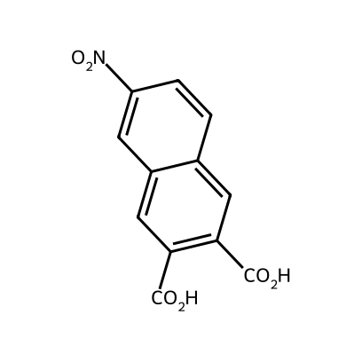 O=C(O)c1cc2ccc([N+](=O)[O-])cc2cc1C(=O)O